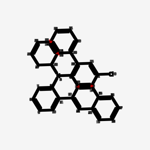 Clc1ccc(N(c2ccccc2-c2ccc3ccccc3c2)C2C=CC=CC2)c(-c2ccccc2)c1